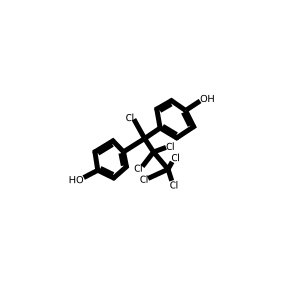 Oc1ccc(C(Cl)(c2ccc(O)cc2)C(Cl)(Cl)C(Cl)(Cl)Cl)cc1